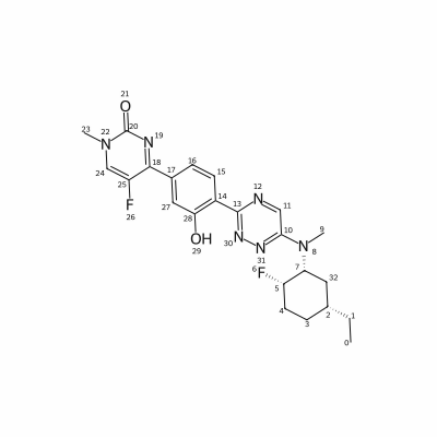 CC[C@@H]1CC[C@H](F)[C@H](N(C)c2cnc(-c3ccc(-c4nc(=O)n(C)cc4F)cc3O)nn2)C1